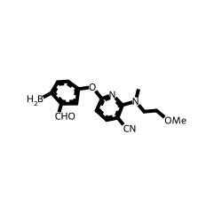 Bc1ccc(Oc2ccc(C#N)c(N(C)CCOC)n2)cc1C=O